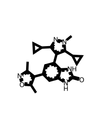 Cc1noc(C)c1-c1cc(-c2c(C3CC3)nn(C)c2C2CC2)c2[nH]c(=O)[nH]c2c1